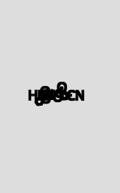 N#Cc1ccc2c(c1)C(=O)CC1(CCN(S(=O)(=O)NC3CCCCC3)CC1)O2